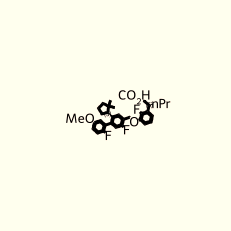 CCC[C@@H](CC(=O)O)c1cccc(OCc2cc([C@H]3CCCC3(C)C)c(-c3cc(OC)ccc3F)cc2F)c1F